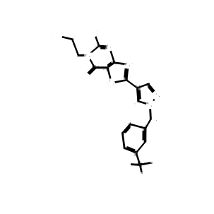 CCCn1c(F)nc2nc(-c3cnn(Cc4cccc(C(F)(F)F)c4)c3)[nH]c2c1=O